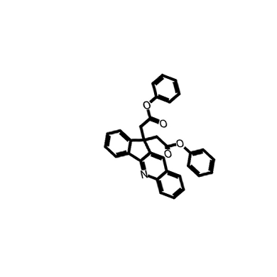 O=C(CC1(CC(=O)Oc2ccccc2)c2ccccc2-c2nc3ccccc3cc21)Oc1ccccc1